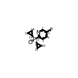 O=P(c1ccc(I)cn1)(C1CC1)C1CC1